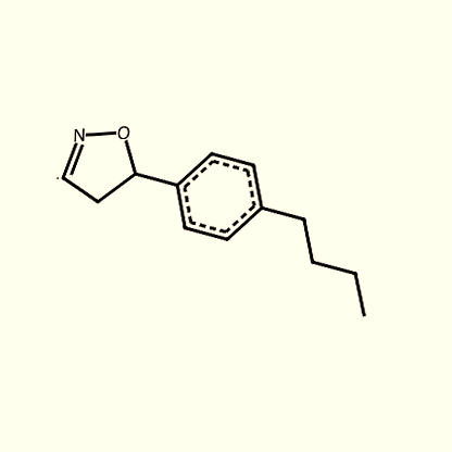 CCCCc1ccc(C2C[C]=NO2)cc1